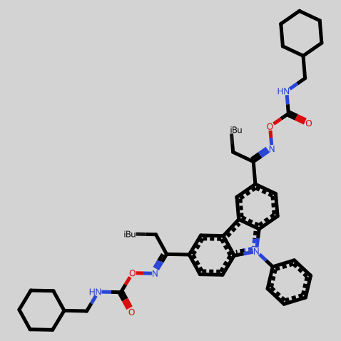 CCC(C)C/C(=N\OC(=O)NCC1CCCCC1)c1ccc2c(c1)c1cc(/C(CC(C)CC)=N/OC(=O)NCC3CCCCC3)ccc1n2-c1ccccc1